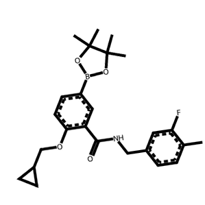 Cc1ccc(CNC(=O)c2cc(B3OC(C)(C)C(C)(C)O3)ccc2OCC2CC2)cc1F